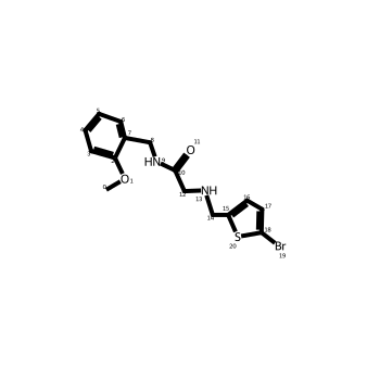 COc1ccccc1CNC(=O)CNCc1ccc(Br)s1